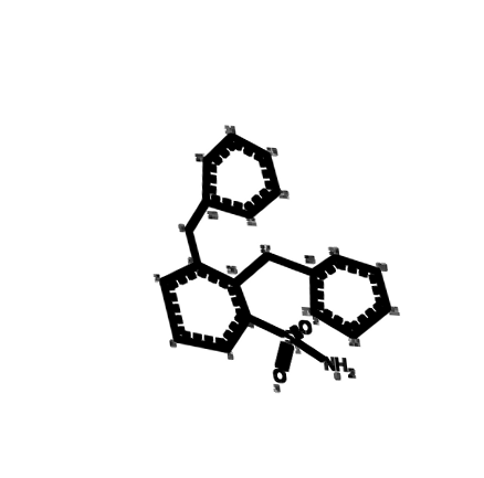 NS(=O)(=O)c1cccc(Cc2ccccc2)c1Cc1ccccc1